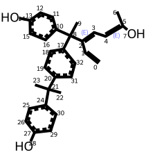 C=C/C(=C\C=C(/C)O)C(C)(c1ccc(O)cc1)c1ccc(C(C)(C)c2ccc(O)cc2)cc1